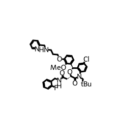 COc1c(OCCCNCc2ccccn2)cccc1[C@@H]1O[C@@H](CC(=O)NCc2ccccc2F)C(=O)N(CC(C)(C)C)c2ccc(Cl)cc21